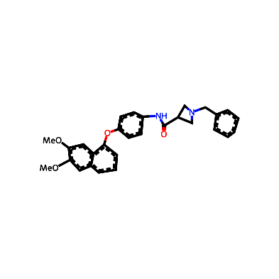 COc1cc2cccc(Oc3ccc(NC(=O)C4CN(Cc5ccccc5)C4)cc3)c2cc1OC